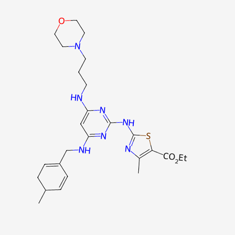 CCOC(=O)c1sc(Nc2nc(NCCCN3CCOCC3)cc(NCC3=CCC(C)C=C3)n2)nc1C